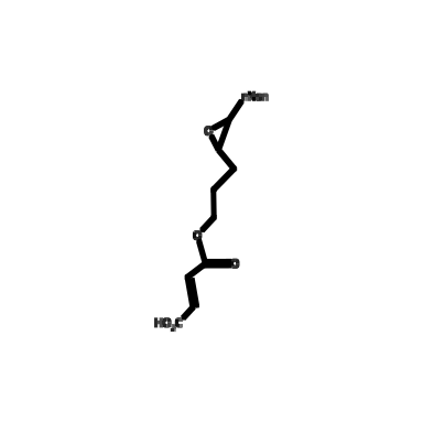 CCCCCCCCCC1OC1CCCOC(=O)C=CC(=O)O